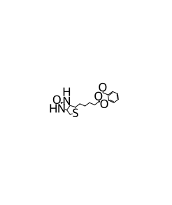 O=Cc1ccccc1OC(=O)CCCCC1SCC2NC(=O)NC21